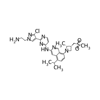 CC(C)c1ccc(N2C[C@H](CS(C)(=O)=O)[C@H]2C)c2cnc(Nc3ccnc(-c4cn(CCN)nc4Cl)n3)cc12